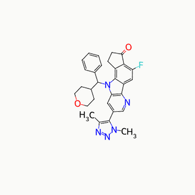 Cc1nnn(C)c1-c1cnc2c3cc(F)c4c(c3n(C(c3ccccc3)C3CCOCC3)c2c1)CCC4=O